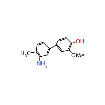 COc1cc(-c2ccc(C)c(N)c2)ccc1O